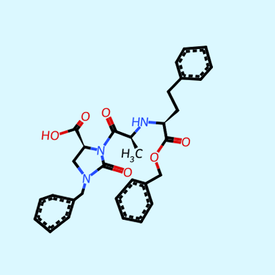 C[C@H](N[C@@H](CCc1ccccc1)C(=O)OCc1ccccc1)C(=O)N1C(=O)N(Cc2ccccc2)C[C@H]1C(=O)O